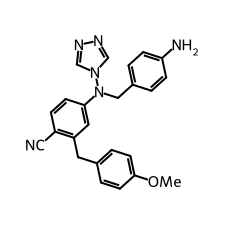 COc1ccc(Cc2cc(N(Cc3ccc(N)cc3)n3cnnc3)ccc2C#N)cc1